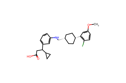 COc1ccc(F)c([C@H]2CC[C@@H](CNc3cccc(C(CC(=O)O)C4CC4)c3)CC2)c1